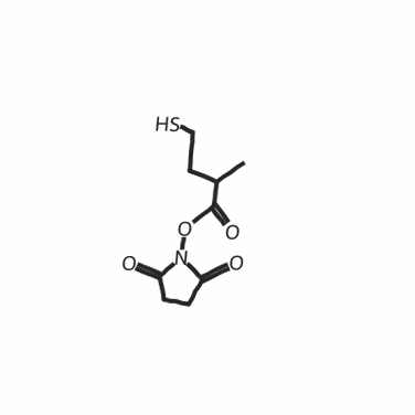 CC(CCS)C(=O)ON1C(=O)CCC1=O